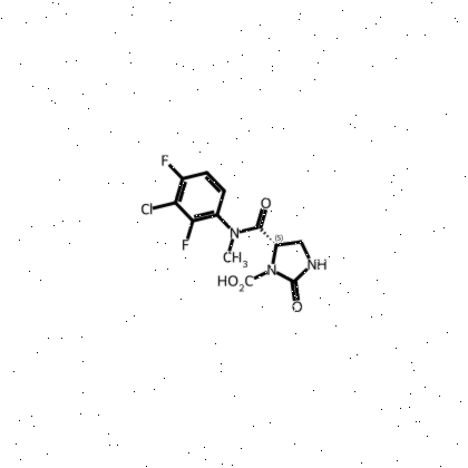 CN(C(=O)[C@@H]1CNC(=O)N1C(=O)O)c1ccc(F)c(Cl)c1F